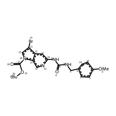 COc1ccc(CNC(=O)Nc2cc3c(Br)cn(C(=O)OC(C)(C)C)c3cn2)cc1